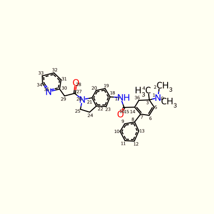 CN(C)C1(C)C=CC(c2ccccc2)=C(C(=O)Nc2ccc3c(c2)CCN3C(=O)Cc2ccccn2)C1